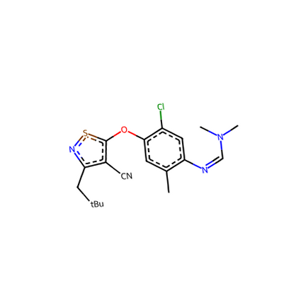 Cc1cc(Oc2snc(CC(C)(C)C)c2C#N)c(Cl)cc1/N=C\N(C)C